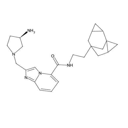 N[C@@H]1CCN(Cc2cn3c(C(=O)NCCC45CC6CC6C6(CC6C4)C5)cccc3n2)C1